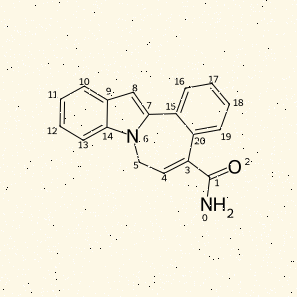 NC(=O)C1=CCn2c(cc3ccccc32)-c2ccccc21